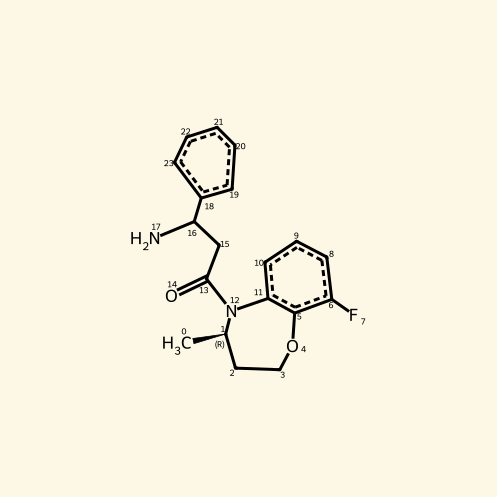 C[C@@H]1CCOc2c(F)cccc2N1C(=O)CC(N)c1ccccc1